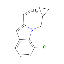 C=Cc1cc2cccc(Cl)c2n1CC1CC1